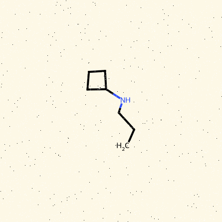 [CH2]CCNC1CCC1